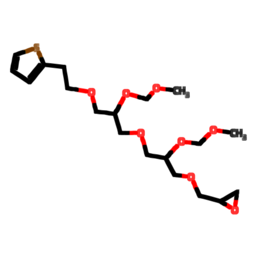 COCOC(COCCc1cccs1)COCC(COCC1CO1)OCOC